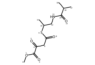 COC(=O)C(=O)CC(=O)SC(C)CNC(=O)C(C)C